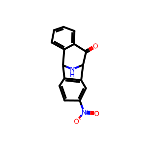 O=C1c2ccccc2C2NC1c1cc([N+](=O)[O-])ccc12